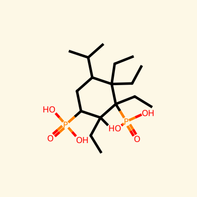 CCC1(C)C(P(=O)(O)O)CC(C(C)C)C(CC)(CC)C1(CC)P(=O)(O)O